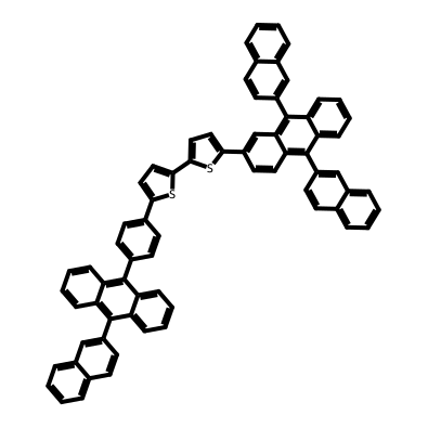 c1ccc2cc(-c3c4ccccc4c(-c4ccc(-c5ccc(-c6ccc(-c7ccc8c(-c9ccc%10ccccc%10c9)c9ccccc9c(-c9ccc%10ccccc%10c9)c8c7)s6)s5)cc4)c4ccccc34)ccc2c1